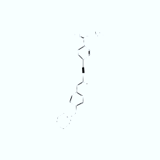 COC(=O)c1ccc(C#CC(F)=Cc2ccc(CN3CCOCC3)cc2)cc1